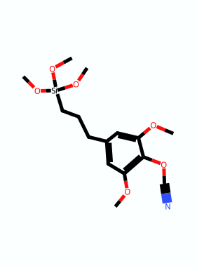 COc1cc(CCC[Si](OC)(OC)OC)cc(OC)c1OC#N